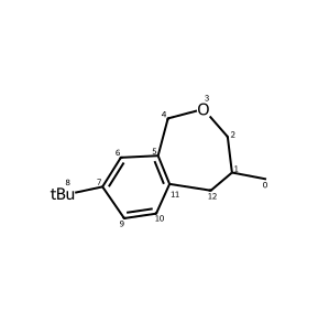 CC1COCc2cc(C(C)(C)C)ccc2C1